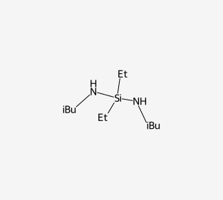 CCC(C)N[Si](CC)(CC)NC(C)CC